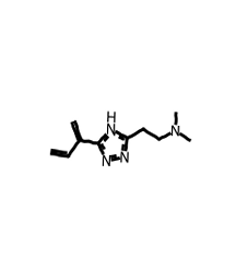 C=CC(=C)c1nnc(CCN(C)C)[nH]1